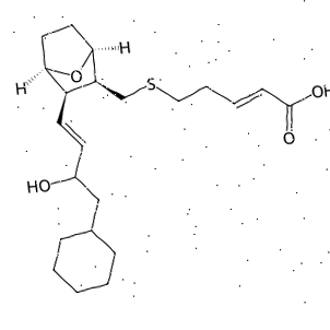 O=C(O)C=CCCSC[C@H]1[C@@H](/C=C/C(O)CC2CCCCC2)[C@H]2CC[C@@H]1O2